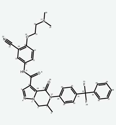 CC1Cn2ncc(C(=O)Nc3ccc(OCCN(C)C)c(C#N)c3)c2C(=O)N1c1ccc(C(F)(F)c2ccccc2)cc1